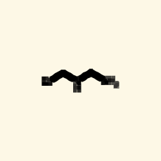 CCCN[CH]N